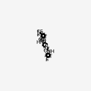 O=C(CN1CCC(NS(=O)(=O)c2cccc(C(F)(F)F)c2)CC1)Nc1ccc(F)cc1